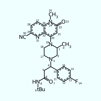 CC1CN(C(CC(=O)NC(C)(C)C)c2ccc(F)cc2)CCN1c1cc(=O)n(C)c2ccc(C#N)nc12